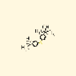 CCC(C)(C)c1ccc(Sc2ccc(C(C)C)cc2)cc1